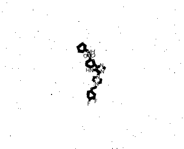 O=S(=O)(Nc1ccccc1)c1ccc2[nH]c3c(N4CCN(CCc5ccc(F)c(F)c5)CC4)ncnc3c2c1